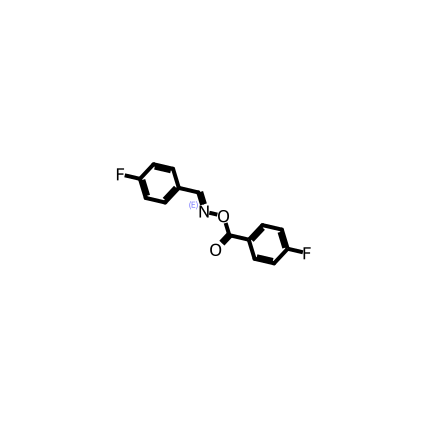 O=C(O/N=C/c1ccc(F)cc1)c1ccc(F)cc1